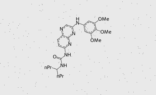 CCCC(CCC)NC(=O)Nc1ccc2ncc(Nc3cc(OC)c(OC)c(OC)c3)nc2n1